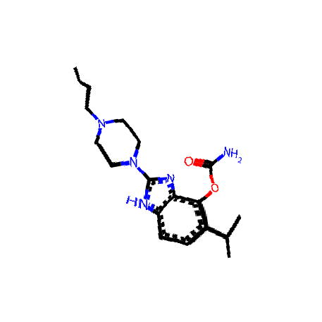 CCCN1CCN(c2nc3c(OC(N)=O)c(C(C)C)ccc3[nH]2)CC1